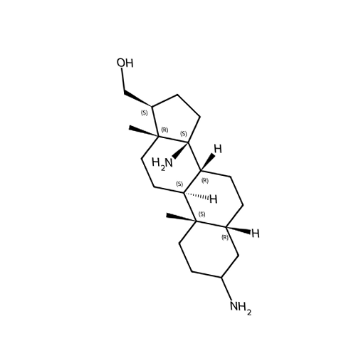 C[C@]12CCC(N)C[C@H]1CC[C@@H]1[C@@H]2CC[C@]2(C)[C@@H](CO)CC[C@]12N